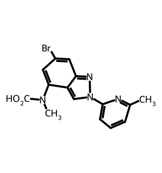 Cc1cccc(-n2cc3c(N(C)C(=O)O)cc(Br)cc3n2)n1